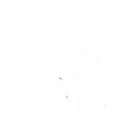 Cc1ccc(-c2nc3n(n2)CCN([C@H](C)[C@](O)(CN(N)CCN)c2ccc(F)cc2F)C3)cc1